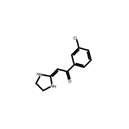 O=C(C=C1NCCN1)c1cccc(Cl)c1